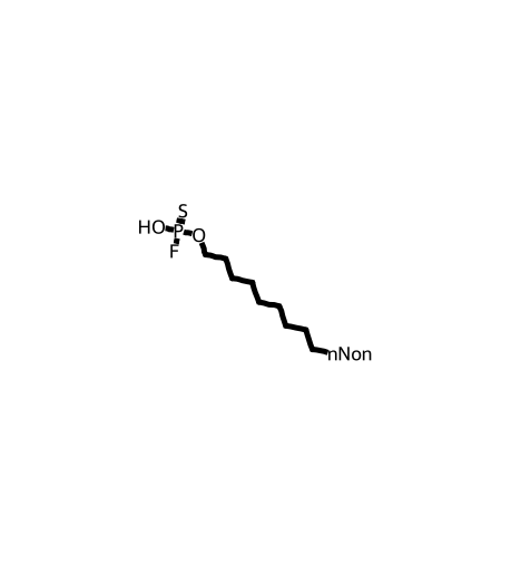 CCCCCCCCCCCCCCCCCCOP(O)(F)=S